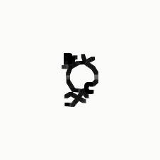 CCC(C)(CC)C1(C)CCCCC(C)(C)CC(C)(Br)CCC1